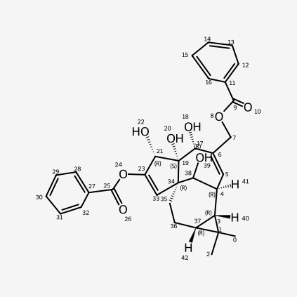 CC1(C)[C@H]2[C@@H]3C=C(COC(=O)c4ccccc4)[C@@H](O)[C@]4(O)[C@@H](O)C(OC(=O)c5ccccc5)=C[C@]4(CC[C@H]21)C3O